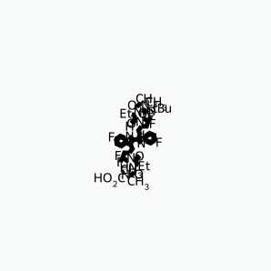 CCC(NC(=O)C(C)N(C)C(=O)O)C(=O)N1CC(F)(F)CC1Cc1c(-c2nc3cc(F)ccc3n2CC2CC(F)(F)CN2C(=O)C(CC)NC(=O)C(C)N(C)C(=O)OC(C)(C)C)[nH]c2cc(F)ccc12